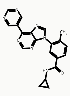 Cc1ccc(C(=O)NC2CC2)cc1-n1cnc2c(-c3cncnc3)ncnc21